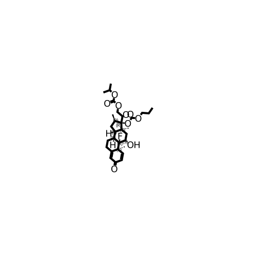 CCCOC(=O)O[C@]1(C(=O)COC(=O)OC(C)C)[C@H](C)C[C@H]2[C@@H]3CCC4=CC(=O)C=C[C@]4(C)[C@@]3(F)[C@@H](O)C[C@@]21C